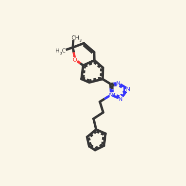 CC1(C)C=Cc2cc(-c3nnnn3CCCc3ccccc3)ccc2O1